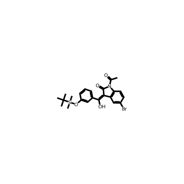 CC(=O)N1C(=O)C(=C(O)c2cccc(O[Si](C)(C)C(C)(C)C)c2)c2cc(Br)ccc21